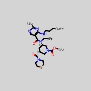 COCCCNc1nc(C(C)(C)C)ncc1C(=O)N(CC(C)C)[C@H]1C[C@@H](C(=O)N2CCSCC2)CN(C(=O)OC(C)(C)C)C1